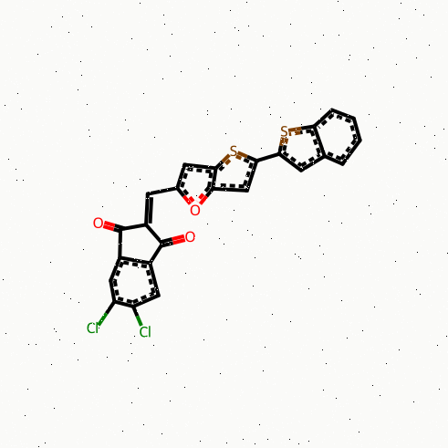 O=C1C(=Cc2cc3sc(-c4cc5ccccc5s4)cc3o2)C(=O)c2cc(Cl)c(Cl)cc21